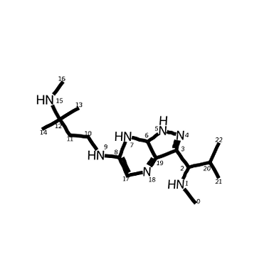 CNC(C1=NNC2NC(NCCC(C)(C)NC)=CN=C12)C(C)C